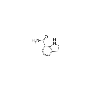 NC(=O)c1cccc2c1NCC2